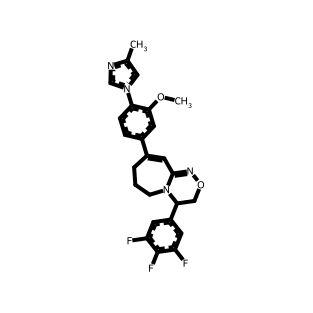 COc1cc(C2=CC3=NOCC(c4cc(F)c(F)c(F)c4)N3CCC2)ccc1-n1cnc(C)c1